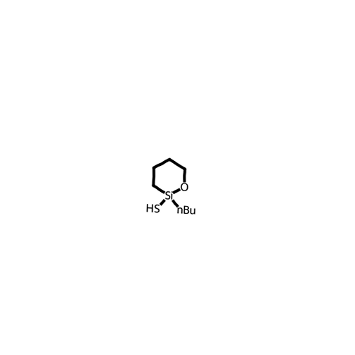 CCCC[Si]1(S)CCCCO1